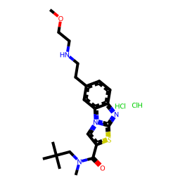 COCCNCCc1ccc2nc3sc(C(=O)N(C)CC(C)(C)C)cn3c2c1.Cl.Cl